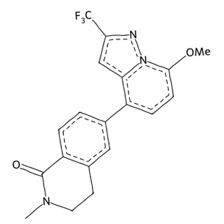 COc1ccc(-c2ccc3c(c2)CCN(C)C3=O)c2cc(C(F)(F)F)nn12